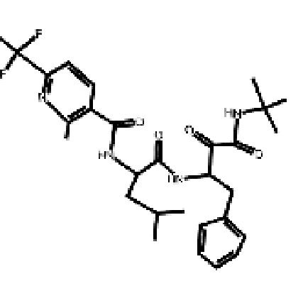 Cc1nc(C(F)(F)F)ccc1C(=O)NC(CC(C)C)C(=O)NC(Cc1ccccc1)C(=O)C(=O)NC(C)(C)C